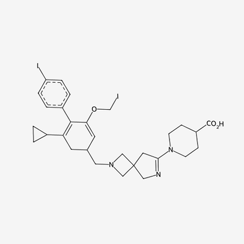 O=C(O)C1CCN(C2=NCC3(C2)CN(CC2C=C(OCI)C(c4ccc(I)cc4)=C(C4CC4)C2)C3)CC1